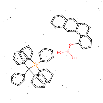 OB(O)Oc1cccc2ccc3cc4ccccc4cc3c12.c1ccc(C(c2ccccc2)(c2ccccc2)[PH](c2ccccc2)(c2ccccc2)c2ccccc2)cc1